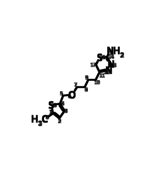 Cc1ccc(COCCCCC2=NN=C(N)SC2)s1